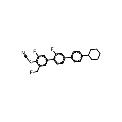 N#CSc1c(F)cc(-c2ccc(-c3ccc(C4CCCCC4)cc3)cc2F)cc1CF